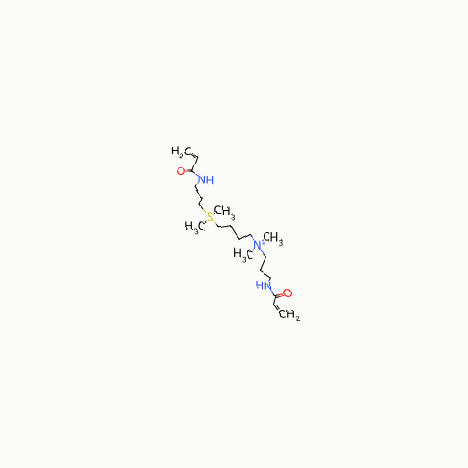 C=CC(=O)NCCC[N+](C)(C)CCCCS(C)(C)CCCNC(=O)C=C